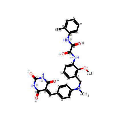 CCOc1c(CN(C)c2ccc(C=C3C(=O)NC(=O)NC3=O)cc2)cccc1NC(=O)C(=O)Nc1ccccc1CC